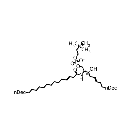 CCCCCCCCCCCCC=CC[C@@H](O)[C@H](COP(=O)([O-])OCC[N+](C)(C)C)NC(=O)CC=CCCCCCCCCCCCCCCCCCCCC